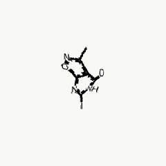 Cc1noc2nc(I)[nH]c(=O)c12